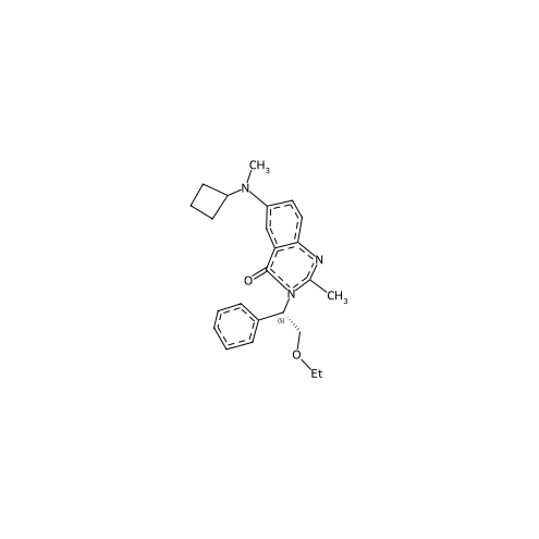 CCOC[C@H](c1ccccc1)n1c(C)nc2ccc(N(C)C3CCC3)cc2c1=O